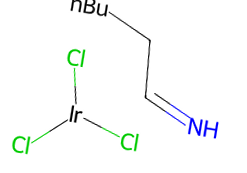 CCCCCC=N.[Cl][Ir]([Cl])[Cl]